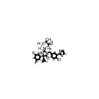 CN(C)C(=O)OC[C@H](c1ccc(Cl)c(-c2nccs2)c1)N1C(=O)[C@](c2cc(F)cc(F)c2)(C2CC2)NC1N